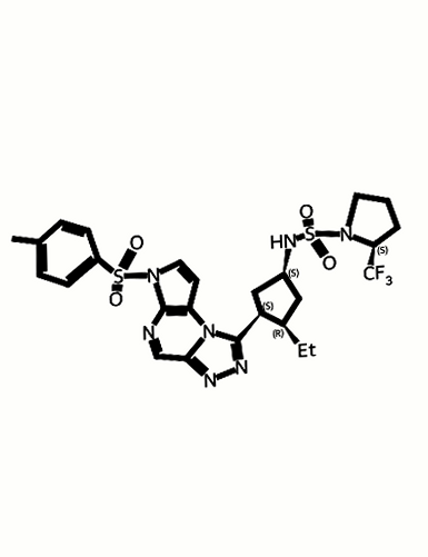 CC[C@@H]1C[C@H](NS(=O)(=O)N2CCC[C@H]2C(F)(F)F)C[C@@H]1c1nnc2cnc3c(ccn3S(=O)(=O)c3ccc(C)cc3)n12